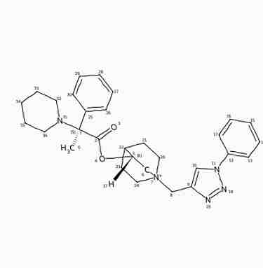 C[C@@](C(=O)O[C@H]1C[N+]2(Cc3cn(-c4ccccc4)nn3)CCC1CC2)(c1ccccc1)N1CCCCC1